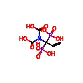 C=CC(N(C(=O)O)C(=O)O)(P(=O)(O)O)P(=O)(O)O